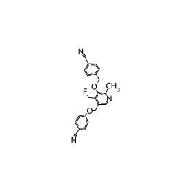 Cc1ncc(COc2ccc(C#N)cc2)c(CF)c1OCc1ccc(C#N)cc1